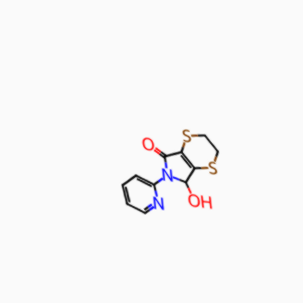 O=C1C2=C(SCCS2)C(O)N1c1ccccn1